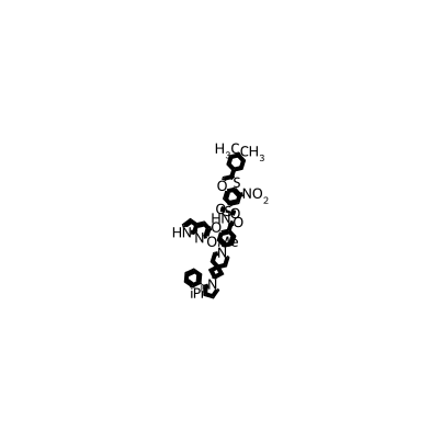 COc1nc2[nH]ccc2cc1Oc1cc(N2CCC3(CC2)CC(N2CCC[C@@H]2c2ccccc2C(C)C)C3)ccc1C(=O)NS(=O)(=O)c1cc2c(c([N+](=O)[O-])c1)SC(C1CCC(C)(C)CC1)CO2